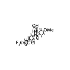 COc1ccc(C(=O)Nc2ccc(-c3csc(C(F)(F)F)n3)c(Cl)c2)c(NCCO)c1